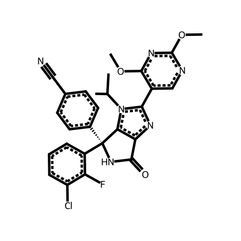 COc1ncc(-c2nc3c(n2C(C)C)[C@](c2ccc(C#N)cc2)(c2cccc(Cl)c2F)NC3=O)c(OC)n1